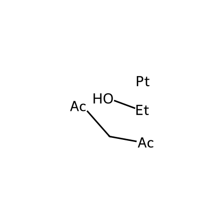 CC(=O)CC(C)=O.CCO.[Pt]